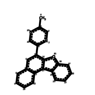 Cc1cnc(-c2cc3ccccc3c3c2oc2ccccc23)cn1